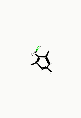 Cc1cc(C)c([SiH2]Cl)c(C)c1